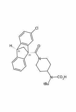 CC(C)(C)N(C(=O)O)C1CCN(C(=O)[C@@]23C[C@@H](c4ccccc42)c2ccc(Cl)cc23)CC1